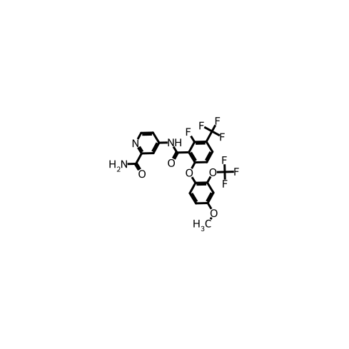 COc1ccc(Oc2ccc(C(F)(F)F)c(F)c2C(=O)Nc2ccnc(C(N)=O)c2)c(OC(F)(F)F)c1